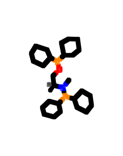 C[C@@H](COP(C1CCCCC1)C1CCCCC1)N(C)P(C1CCCCC1)C1CCCCC1